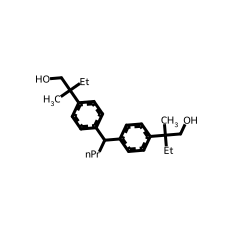 CCCC(c1ccc(C(C)(CC)CO)cc1)c1ccc(C(C)(CC)CO)cc1